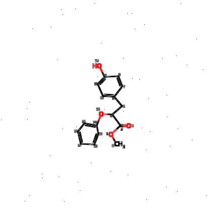 COC(=O)C(Cc1ccc(O)cc1)Oc1ccccc1